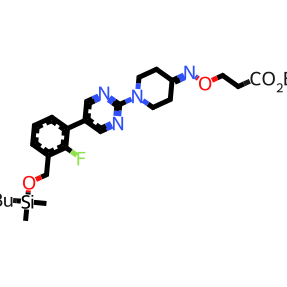 CCOC(=O)CCON=C1CCN(c2ncc(-c3cccc(CO[Si](C)(C)C(C)(C)C)c3F)cn2)CC1